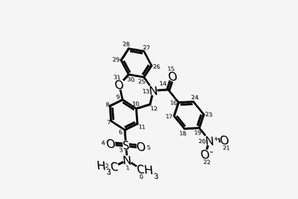 CN(C)S(=O)(=O)c1ccc2c(c1)CN(C(=O)c1ccc([N+](=O)[O-])cc1)c1ccccc1O2